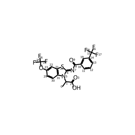 CC(C(=O)O)n1/c(=N/C(=O)c2cccc(C(F)(F)F)c2)sc2cc(OC(F)(F)F)ccc21